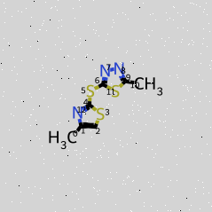 Cc1csc(Sc2nnc(C)s2)n1